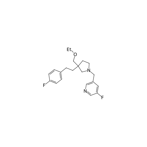 CCOCC1(CCc2ccc(F)cc2)CCN(Cc2cncc(F)c2)C1